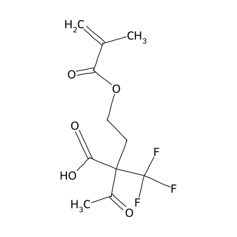 C=C(C)C(=O)OCCC(C(C)=O)(C(=O)O)C(F)(F)F